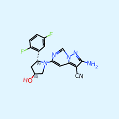 N#Cc1c(N)nn2cnc(N3C[C@@H](O)C[C@@H]3c3cc(F)ccc3F)cc12